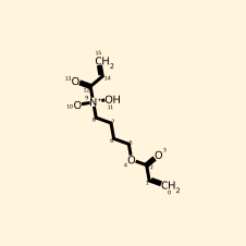 C=CC(=O)OCCCC[N+]([O-])(O)C(=O)C=C